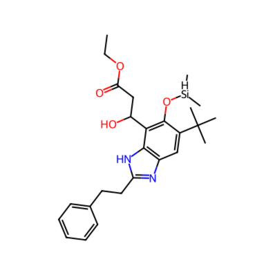 CCOC(=O)CC(O)c1c(O[SiH](C)C)c(C(C)(C)C)cc2nc(CCc3ccccc3)[nH]c12